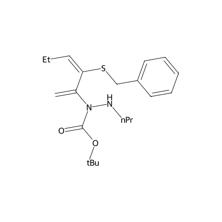 C=C(/C(=C\CC)SCc1ccccc1)N(NCCC)C(=O)OC(C)(C)C